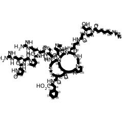 CC(C)C[C@H](NC(=O)[C@H](CCCNC(=N)N)NC(=O)[C@@H]1CCCN1C(=O)[C@H](CCCNC(=N)N)NC(=O)[C@@H]1CCC(=O)N1)C(=O)N[C@H]1CSSCC(C(=O)N[C@@H](Cc2ccccc2)C(=O)O)CC(=O)[C@@H]2CCCN(C1=O)[C@@H](Cc1cnc[nH]1)C(=O)N[C@@H](CCCCNC(=O)CN1CCN(C(=O)CCCCCN=[N+]=[N-])CC1CO)C(=O)NCCN1CCC[C@H]1CC2